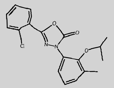 Cc1cccc(-n2nc(-c3ccccc3Cl)oc2=O)c1OC(C)C